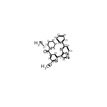 COc1cc(C(=O)N2CCCC[C@H]2CN)cc(-c2cnn3ccc(-c4ccccc4)nc23)n1